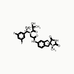 C[C@H](c1cc(F)cc(F)c1)N(CC(=O)Nc1ccc2c(c1)C[C@@]1(C2)C(=O)NC(=O)N1C)C(=O)[C@](C)(O)C(F)(F)F